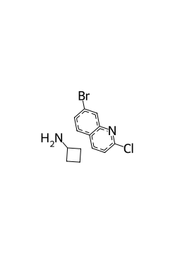 Clc1ccc2ccc(Br)cc2n1.NC1CCC1